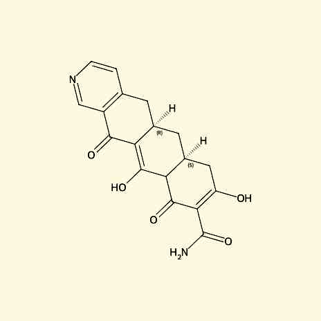 NC(=O)C1=C(O)C[C@@H]2C[C@@H]3Cc4ccncc4C(=O)C3=C(O)C2C1=O